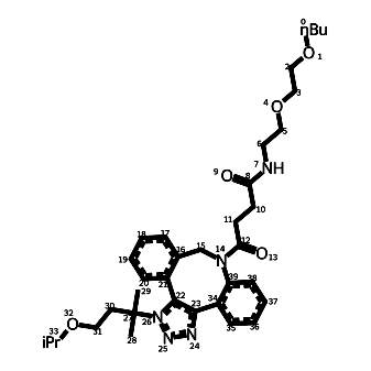 CCCCOCCOCCNC(=O)CCC(=O)N1Cc2ccccc2-c2c(nnn2C(C)(C)CCOC(C)C)-c2ccccc21